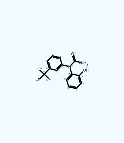 NC(=O)N(c1cccc(C(F)(F)F)c1)c1ccccc1O